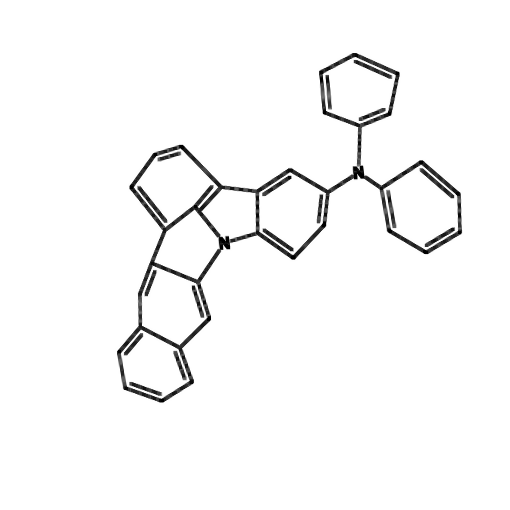 c1ccc(N(c2ccccc2)c2ccc3c(c2)c2cccc4c5cc6ccccc6cc5n3c24)cc1